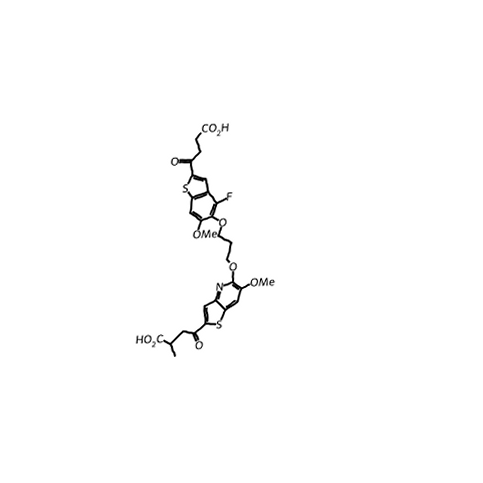 COc1cc2sc(C(=O)CC(C)C(=O)O)cc2nc1OCCCOc1c(OC)cc2sc(C(=O)CCC(=O)O)cc2c1F